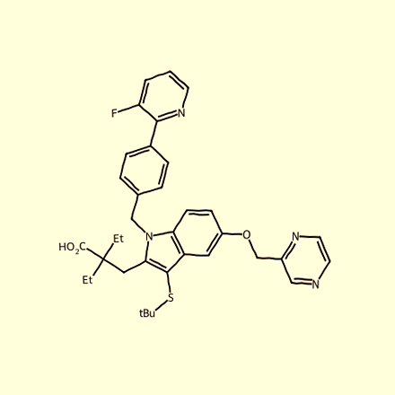 CCC(CC)(Cc1c(SC(C)(C)C)c2cc(OCc3cnccn3)ccc2n1Cc1ccc(-c2ncccc2F)cc1)C(=O)O